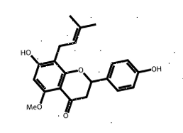 COc1cc(O)c(CC=C(C)C)c2c1C(=O)CC(c1ccc(O)cc1)O2